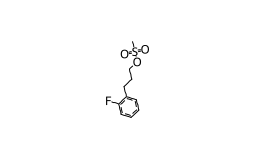 CS(=O)(=O)OCCCc1ccccc1F